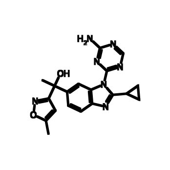 Cc1cc(C(C)(O)c2ccc3nc(C4CC4)n(-c4ncnc(N)n4)c3c2)no1